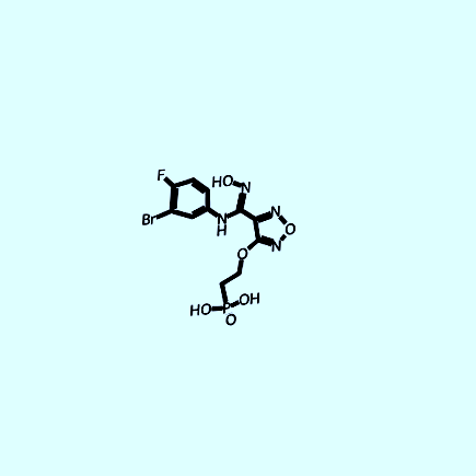 O=P(O)(O)CCOc1nonc1/C(=N/O)Nc1ccc(F)c(Br)c1